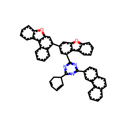 C1=CCC(c2nc(-c3ccc4ccc5ccccc5c4c3)nc(-c3cc(-c4cc5oc6ccccc6c5c5ccccc45)cc4oc5ccccc5c34)n2)C=C1